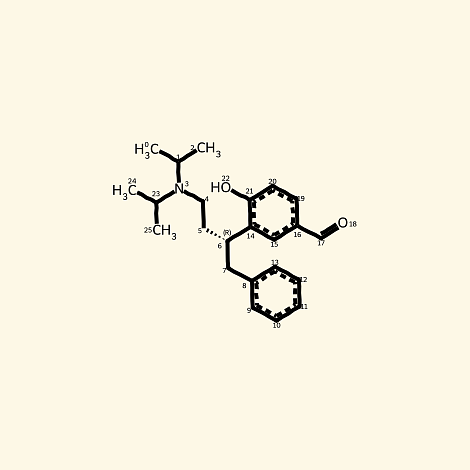 CC(C)N(CC[C@@H](Cc1ccccc1)c1cc(C=O)ccc1O)C(C)C